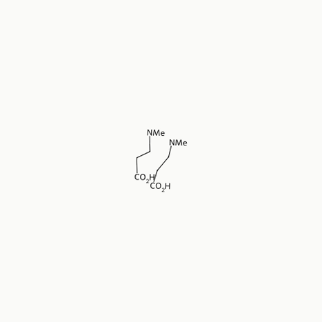 CNCCC(=O)O.CNCCC(=O)O